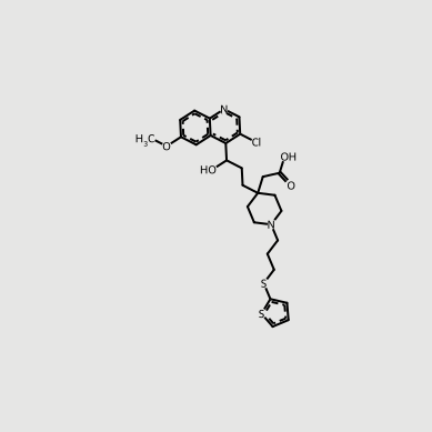 COc1ccc2ncc(Cl)c(C(O)CCC3(CC(=O)O)CCN(CCCSc4cccs4)CC3)c2c1